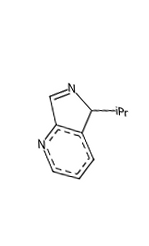 CC(C)C1N=Cc2ncccc21